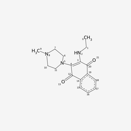 CCNC1=C(N2CCN(C)CC2)C(=O)c2ccccc2C1=O